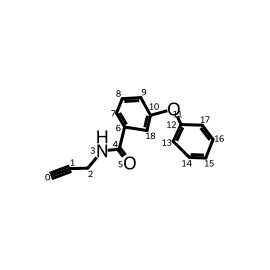 C#CCNC(=O)c1cccc(Oc2ccccc2)c1